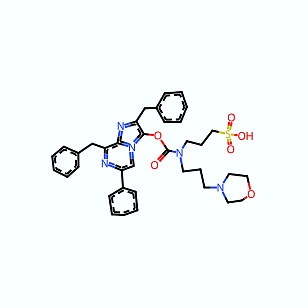 O=C(Oc1c(Cc2ccccc2)nc2c(Cc3ccccc3)nc(-c3ccccc3)cn12)N(CCCN1CCOCC1)CCCS(=O)(=O)O